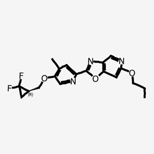 CCCOc1cc2oc(-c3cc(C)c(OC[C@H]4CC4(F)F)cn3)nc2cn1